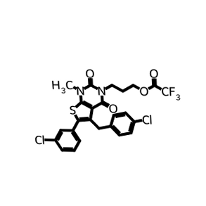 Cn1c(=O)n(CCCOC(=O)C(F)(F)F)c(=O)c2c(Cc3ccc(Cl)cc3)c(-c3cccc(Cl)c3)sc21